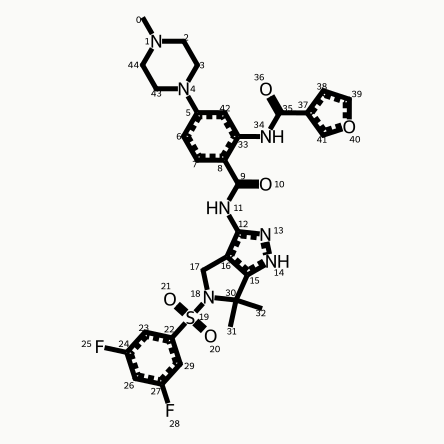 CN1CCN(c2ccc(C(=O)Nc3n[nH]c4c3CN(S(=O)(=O)c3cc(F)cc(F)c3)C4(C)C)c(NC(=O)c3ccoc3)c2)CC1